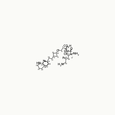 C[C@@](N)(C(=O)N[C@@H](CCOC1CC(CCc2ccc3c(n2)NCCC3)C1)C(=O)O)C(Cl)CC(F)CN